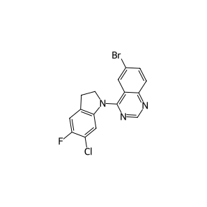 Fc1cc2c(cc1Cl)N(c1ncnc3ccc(Br)cc13)CC2